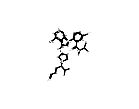 CC(C)C(CCC=O)N1CC[C@@H](Cc2cn(-c3ccc(F)cc3C(=O)N(C)C(C)C)c3cncc(Cl)c23)C1